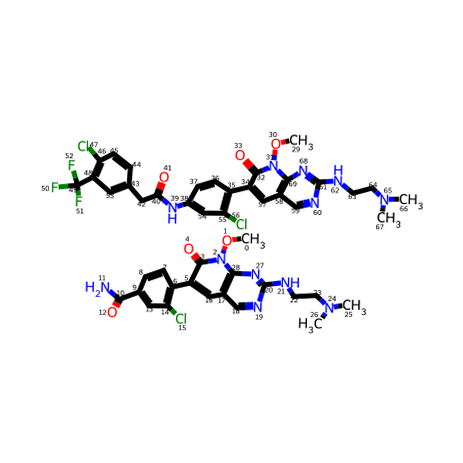 COn1c(=O)c(-c2ccc(C(N)=O)cc2Cl)cc2cnc(NCCN(C)C)nc21.COn1c(=O)c(-c2ccc(NC(=O)Cc3ccc(Cl)c(C(F)(F)F)c3)cc2Cl)cc2cnc(NCCN(C)C)nc21